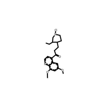 CCC1CN(Cl)CCC1CCC(=O)c1ccnc2c(OC)cc(OC)cc12